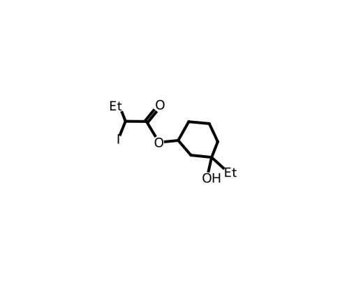 CCC(I)C(=O)OC1CCCC(O)(CC)C1